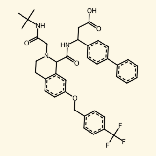 CC(C)(C)NC(=O)CN1CCc2ccc(OCc3ccc(C(F)(F)F)cc3)cc2C1C(=O)NC(CC(=O)O)c1ccc(-c2ccccc2)cc1